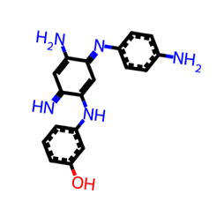 N=C1C=C(N)C(=Nc2ccc(N)cc2)C=C1Nc1cccc(O)c1